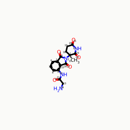 C[C@@]1(N2C(=O)c3cccc(NC(=O)CN)c3C2=O)CCC(=O)NC1=O